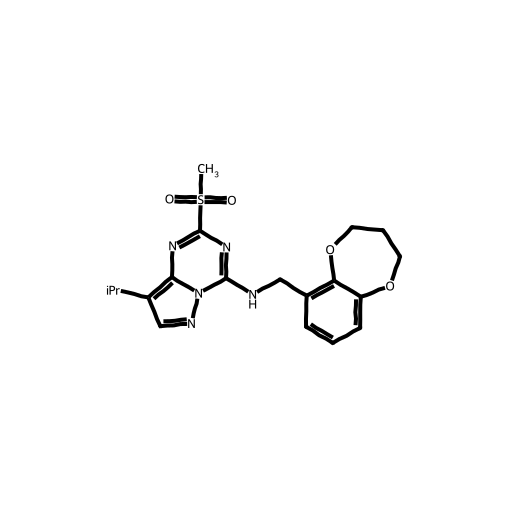 CC(C)c1cnn2c(NCc3cccc4c3OCCCO4)nc(S(C)(=O)=O)nc12